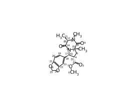 COC(=O)[C@H]1C[C@@]2(C)C(=O)N(C)[C@H](C)C(=O)N2[C@@H]1c1ccc2c(c1)OCO2